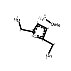 COC.OCc1ccc(CO)o1